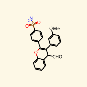 COc1cccc(C2=C(c3ccc(S(N)(=O)=O)cc3)Oc3ccccc3C2C=O)c1